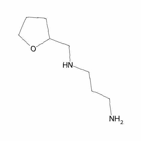 NCCCNCC1CCCO1